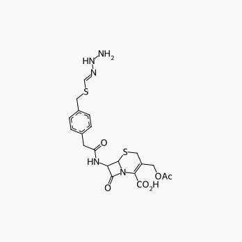 CC(=O)OCC1=C(C(=O)O)N2C(=O)C(NC(=O)Cc3ccc(CSC=NNN)cc3)C2SC1